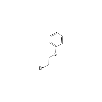 BrCCSc1ccccc1